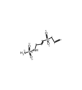 C=CCS(=O)(=O)C=CCNS(N)(=O)=O